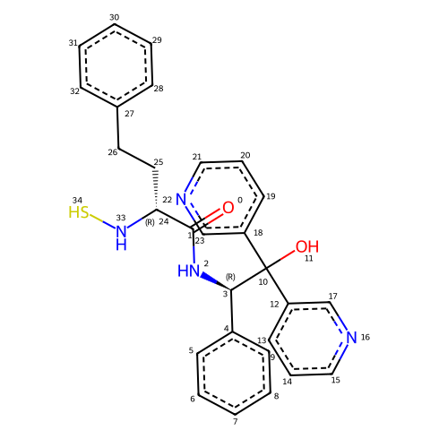 O=C(N[C@H](c1ccccc1)C(O)(c1cccnc1)c1cccnc1)[C@@H](CCc1ccccc1)NS